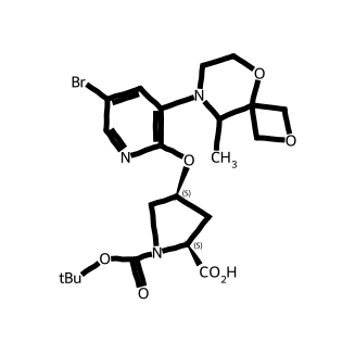 CC1N(c2cc(Br)cnc2O[C@H]2C[C@@H](C(=O)O)N(C(=O)OC(C)(C)C)C2)CCOC12COC2